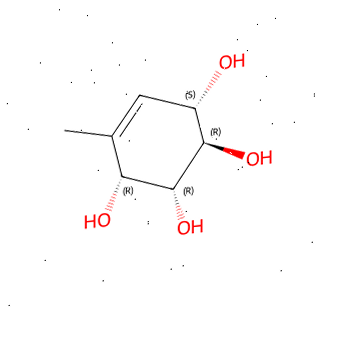 CC1=C[C@H](O)[C@@H](O)[C@H](O)[C@@H]1O